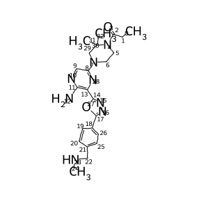 CCC(=O)N1CCN(c2cnc(N)c(-c3nnc(-c4ccc(CNC)cc4)o3)n2)CC1(C)C